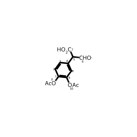 CC(=O)Oc1ccc(C([C]=O)C(=O)O)cc1OC(C)=O